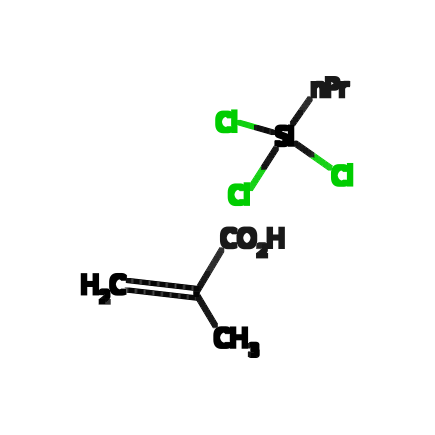 C=C(C)C(=O)O.CCC[Si](Cl)(Cl)Cl